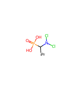 CC(C)C(N(Cl)Cl)P(=O)(O)O